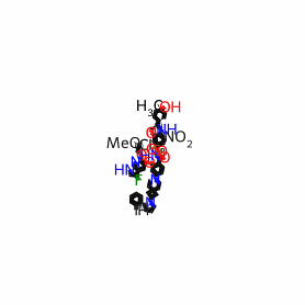 CO[C@H](C)COc1nc2[nH]cc(F)c2cc1Oc1cc(N2CCC3(CC2)CC(N2CCC[C@@H]2c2ccccc2C(C)C)C3)ccc1C(=O)NS(=O)(=O)c1cc2c(c([N+](=O)[O-])c1)N[C@@H]([C@H]1CC[C@](C)(O)CC1)CO2